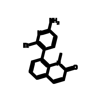 CCc1nc(N)ccc1-c1cccc2ccc(=O)n(C)c12